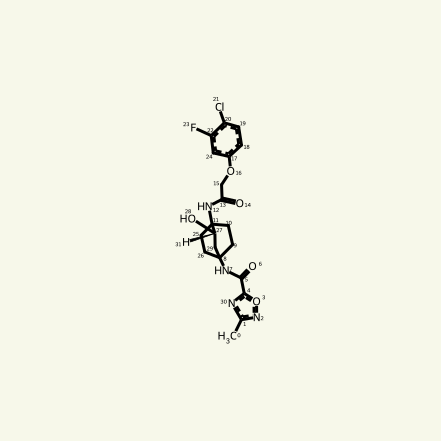 Cc1noc(C(=O)NC23CCC(NC(=O)COc4ccc(Cl)c(F)c4)(CC2)[C@@H](O)C3)n1